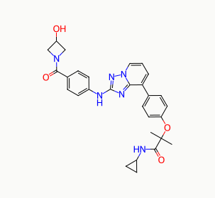 CC(C)(Oc1ccc(-c2cccn3nc(Nc4ccc(C(=O)N5CC(O)C5)cc4)nc23)cc1)C(=O)NC1CC1